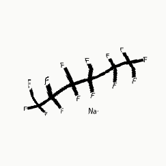 FC(F)(F)C(F)(F)C(F)(F)C(F)(F)C(F)(F)C(F)(F)F.[Na]